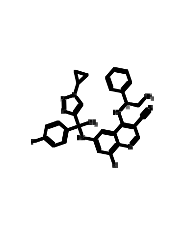 BC(Nc1cc(Cl)c2ncc(C#N)c(N[C@H](CC)c3ccccc3)c2c1)(c1ccc(F)cc1)c1cn(C2CC2)nn1